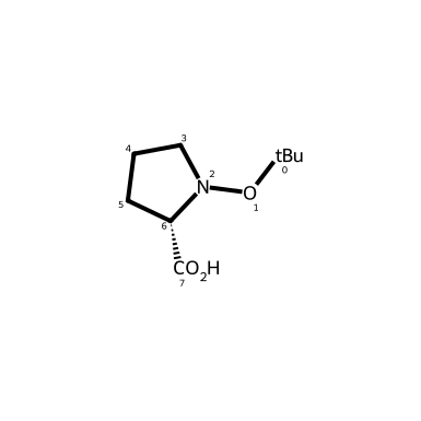 CC(C)(C)ON1CCC[C@H]1C(=O)O